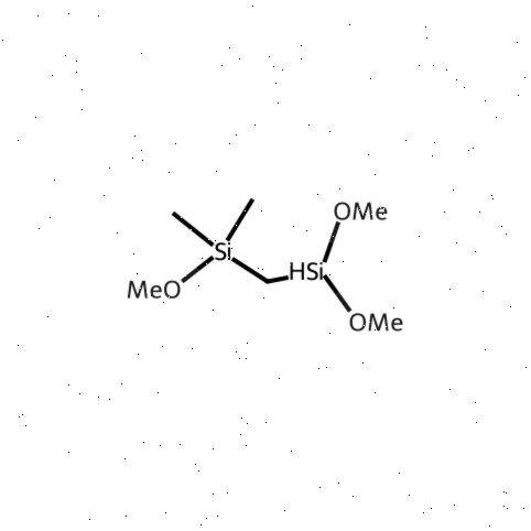 CO[SiH](C[Si](C)(C)OC)OC